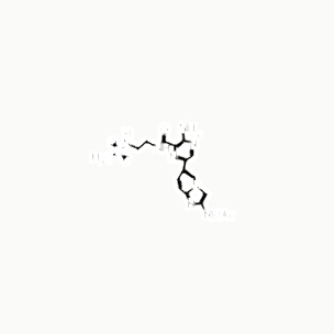 CC(=O)Nc1cn2cc(-c3cnc(N)c(C(=O)NCCNS(C)(=O)=O)n3)ccc2n1